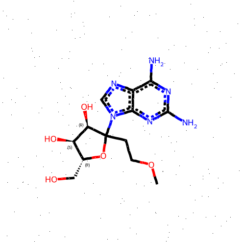 COCCC1(n2cnc3c(N)nc(N)nc32)O[C@H](CO)[C@@H](O)[C@H]1O